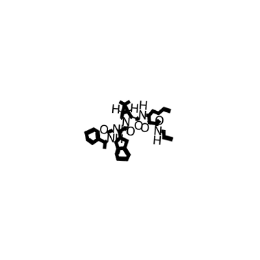 C=CCCC(NC(=O)[C@@H]1[C@H]2[C@@H](CN1C(=O)[C@@H](NC(=O)NC(C)c1ccccc1)C1Cc3ccccc3C1)C2(C)C)C(=O)C(=O)NCC=C